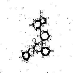 O=C(N[C@@H]1CCCN(c2ncnc3[nH]ccc23)C1)[C@@H](Cc1ccccc1)Nc1ccccc1